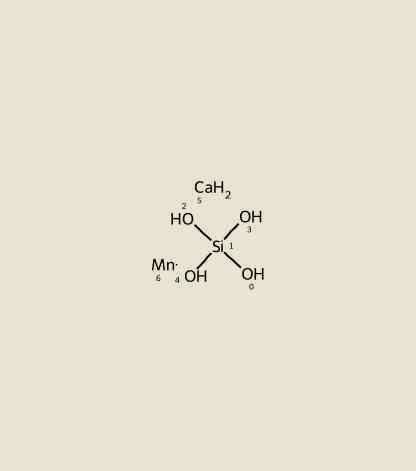 O[Si](O)(O)O.[CaH2].[Mn]